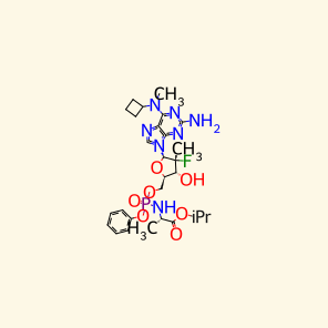 CC(C)OC(=O)[C@H](C)NP(=O)(OC[C@H]1O[C@@H](n2cnc3c(N(C)C4CCC4)nc(N)nc32)[C@](C)(F)[C@@H]1O)Oc1ccccc1